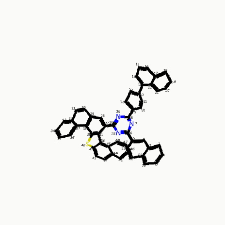 c1ccc2cc(-c3nc(-c4ccc(-c5cccc6ccccc56)cc4)nc(-c4cc5ccc6ccccc6c5c5sc6ccc7ccccc7c6c45)n3)ccc2c1